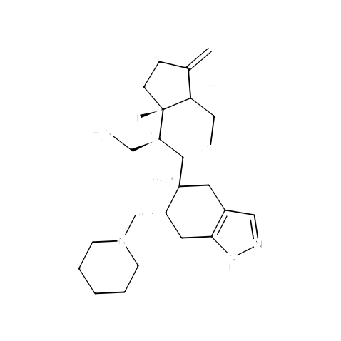 C=C1CC[C@H]2[C@H](CN)[C@@H]([C@@]3(C)Cc4cn[nH]c4C[C@@H]3CN3CCCCC3)CC[C@]12C